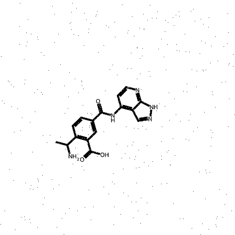 CC(N)c1ccc(C(=O)Nc2ccnc3[nH]ncc23)cc1C(=O)O